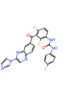 O=C(Nc1ccc(F)cc1)Nc1ccc(F)c(C(=O)c2ccc3ncc(-n4ccnc4)nc3c2)c1F